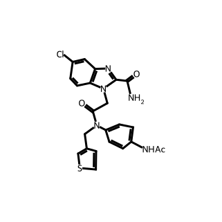 CC(=O)Nc1ccc(N(Cc2ccsc2)C(=O)Cn2c(C(N)=O)nc3cc(Cl)ccc32)cc1